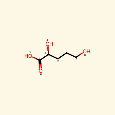 O=C(O)[C@@H](O)CCCO